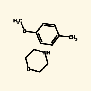 C1COCCN1.COc1ccc(C)cc1